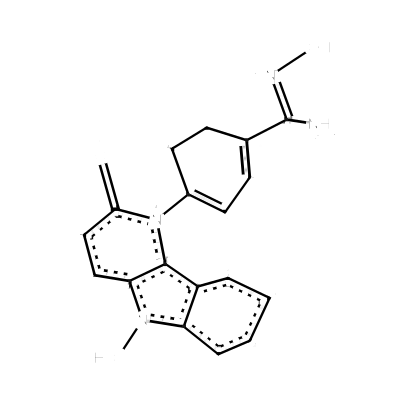 Cn1c2ccccc2c2c1ccc(=O)n2C1=CC=C(/C(N)=N/O)CC1